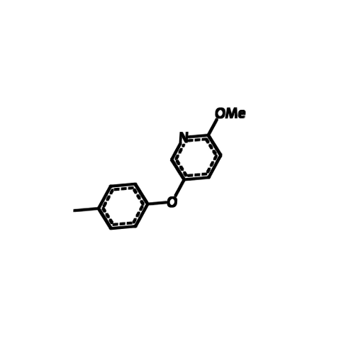 COc1ccc(Oc2ccc(C)cc2)cn1